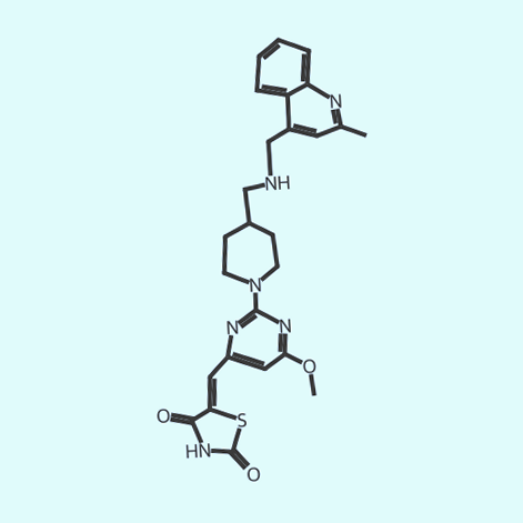 COc1cc(/C=C2\SC(=O)NC2=O)nc(N2CCC(CNCc3cc(C)nc4ccccc34)CC2)n1